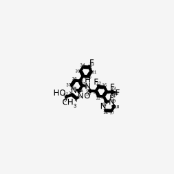 CC(O)c1cnc2c(NC(=O)c3cc(-c4ncccn4)c(C(F)(F)F)cc3F)c(-c3ccc(F)cc3)ccn12